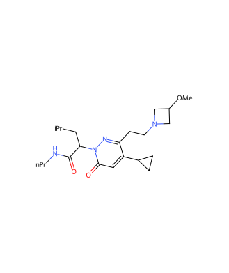 CCCNC(=O)C(CC(C)C)n1nc(CCN2CC(OC)C2)c(C2CC2)cc1=O